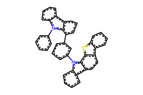 c1ccc(-n2c3ccccc3c3cccc(-c4cccc(-n5c6ccccc6c6ccc7c8ccccc8sc7c65)c4)c32)cc1